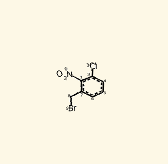 O=[N+]([O-])c1c(Cl)cccc1CBr